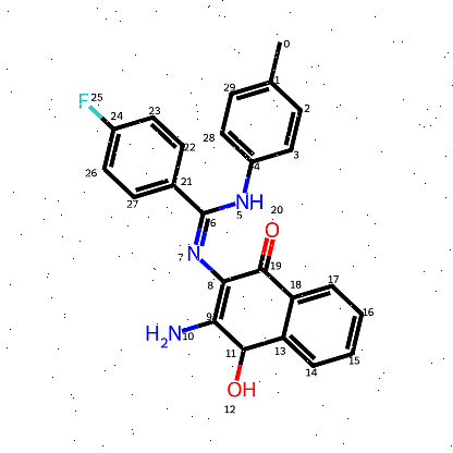 Cc1ccc(N/C(=N\C2=C(N)C(O)c3ccccc3C2=O)c2ccc(F)cc2)cc1